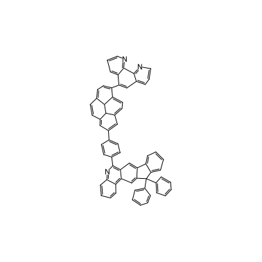 C1=CC2=CC=C(c3cc4cccnc4c4ncccc34)C3=CC=C4C=C(c5ccc(-c6nc7ccccc7c7cc8c(cc67)-c6ccccc6C8(c6ccccc6)c6ccccc6)cc5)C=C1C4C23